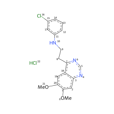 COc1cc2ncnc(CCNc3cccc(Cl)c3)c2cc1OC.Cl